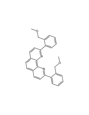 COCc1ccccc1-c1ccc2ccc3ccc(-c4ccccc4COC)nc3c2n1